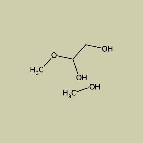 CO.COC(O)CO